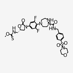 COC(=S)NC[C@H]1CN(c2cc(F)c(N3CCNN(C(=O)NCc4ccc(S(=O)(=O)N5CCOCC5)cc4)CC3)c(F)c2)C(=O)O1